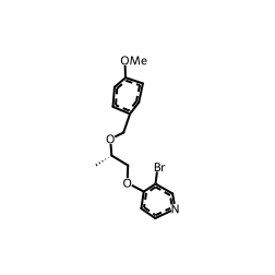 COc1ccc(CO[C@@H](C)COc2ccncc2Br)cc1